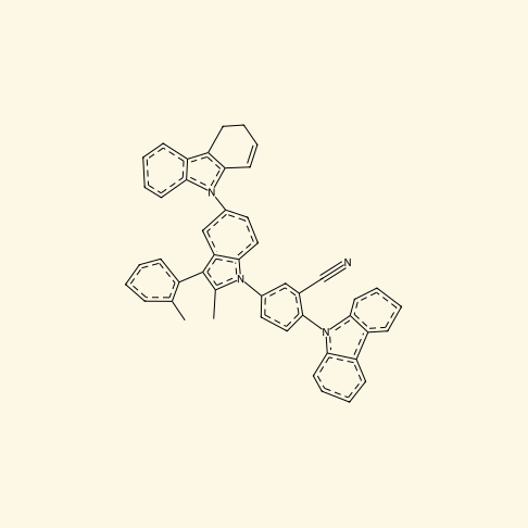 Cc1ccccc1-c1c(C)n(-c2ccc(-n3c4ccccc4c4ccccc43)c(C#N)c2)c2ccc(-n3c4c(c5ccccc53)CCC=C4)cc12